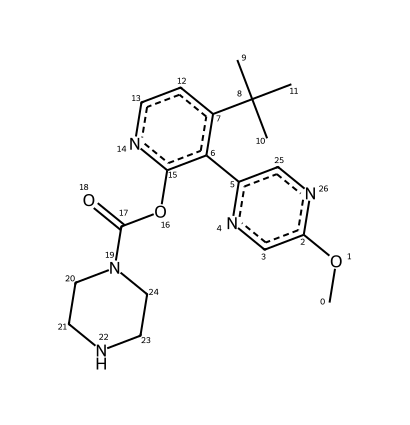 COc1cnc(-c2c(C(C)(C)C)ccnc2OC(=O)N2CCNCC2)cn1